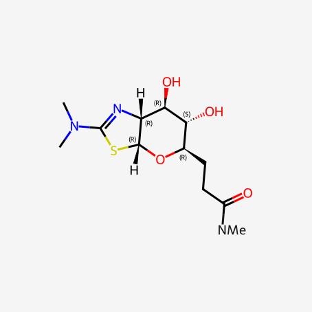 CNC(=O)CC[C@H]1O[C@@H]2SC(N(C)C)=N[C@@H]2[C@@H](O)[C@@H]1O